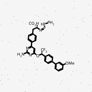 COc1cccc(-c2ccc([C@@H](Oc3cc(-c4ccc(C[C@H](/N=P\PP)C(=O)O)cc4)nc(N)n3)C(F)(F)F)cc2)c1